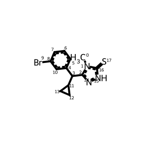 Cn1c(C(c2cccc(Br)c2)C2CC2)n[nH]c1=S